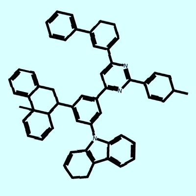 CC1C=CC(c2nc(C3=CCCC(c4ccccc4)=C3)cc(-c3cc(C4Cc5ccccc5C5(C)C=CC=CC45)cc(-n4c5c(c6ccccc64)CCC=C5)c3)n2)=CC1